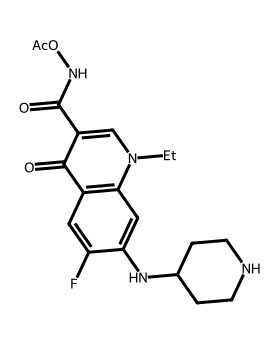 CCn1cc(C(=O)NOC(C)=O)c(=O)c2cc(F)c(NC3CCNCC3)cc21